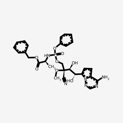 CO[C@](C#N)(COP(=O)(N[C@@H](C)C(=O)OCc1ccccc1)Oc1ccccc1)[C@@H](O)[C@@H](O)c1ccc2c(N)ncnn12